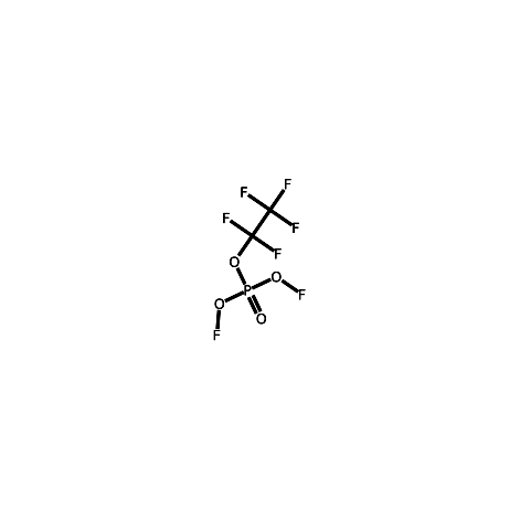 O=P(OF)(OF)OC(F)(F)C(F)(F)F